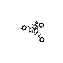 O=C(Cn1c(-c2ccccc2)c(Br)nc(NCc2ccc(F)cc2)c1=O)OCc1ccccc1